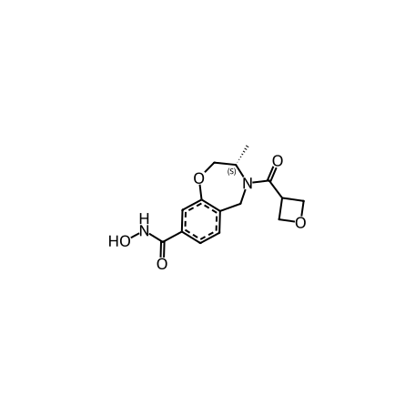 C[C@H]1COc2cc(C(=O)NO)ccc2CN1C(=O)C1COC1